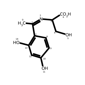 C/C(=N/C(CO)C(=O)O)c1ccc(O)cc1O